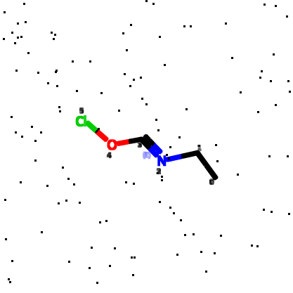 CC/N=C/OCl